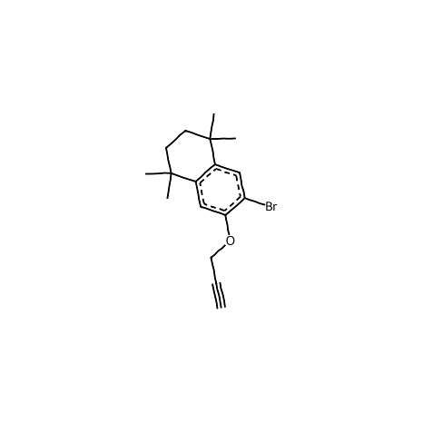 C#CCOc1cc2c(cc1Br)C(C)(C)CCC2(C)C